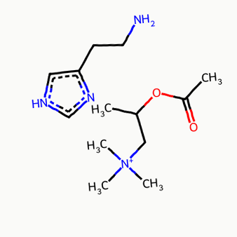 CC(=O)OC(C)C[N+](C)(C)C.NCCc1c[nH]cn1